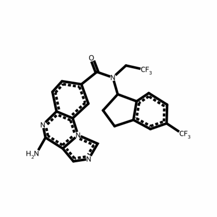 Nc1nc2ccc(C(=O)N(CC(F)(F)F)C3CCc4cc(C(F)(F)F)ccc43)cc2n2cncc12